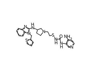 Nc1ccncc1NC(=O)NSCCN1CCC(Nc2nc3ccccc3n2Cc2cccs2)C1